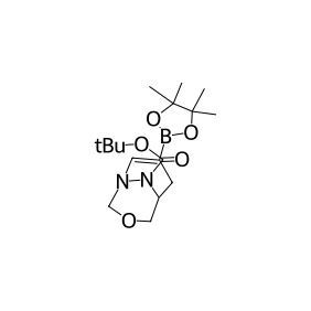 CC(C)(C)OC(=O)N1C2COCN1C=C(B1OC(C)(C)C(C)(C)O1)C2